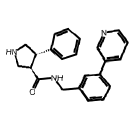 O=C(NCc1cccc(-c2cccnc2)c1)[C@H]1CNC[C@@H]1c1ccccc1